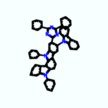 c1ccc(-c2nc(-c3ccccc3)nc(-c3cc4c(cc3-n3c5ccccc5c5ccccc53)c3ccc5c(c6ccccc6n5-c5ccccc5)c3n4-c3ccccc3)n2)cc1